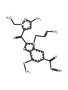 CC=CCn1c(C(=O)c2cc(C)nn2CC)nc2c(OC)cc(C(=O)N=N)cc21